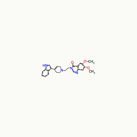 COc1cc2ncn(CCN3CC=C(c4c[nH]c5ccccc45)CC3)c(=O)c2cc1OC